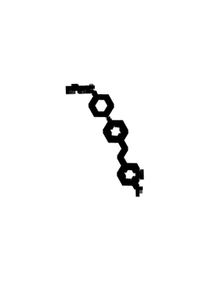 CCCCC[C@H]1CC[C@H](c2ccc(CCc3ccc(F)nc3)cc2)CC1